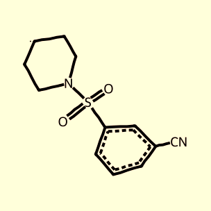 N#Cc1cccc(S(=O)(=O)N2CC[CH]CC2)c1